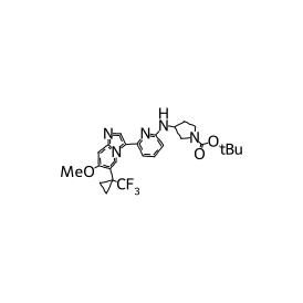 COc1cc2ncc(-c3cccc(NC4CCN(C(=O)OC(C)(C)C)C4)n3)n2cc1C1(C(F)(F)F)CC1